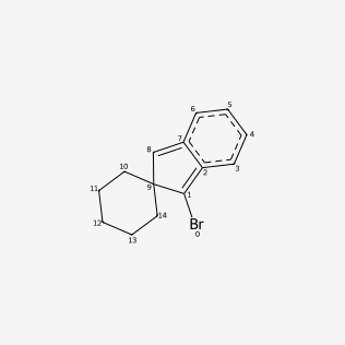 BrC1=c2ccccc2=CC12CCCCC2